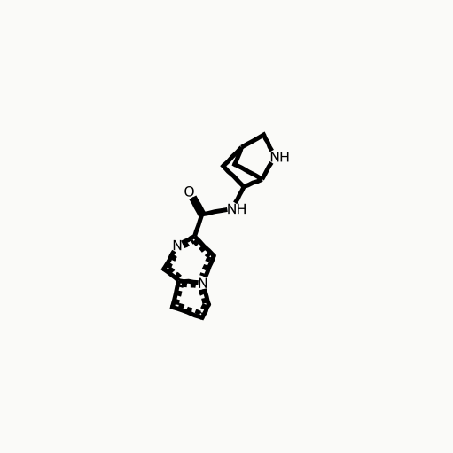 O=C(NC1CC2CNC1C2)c1cn2cccc2cn1